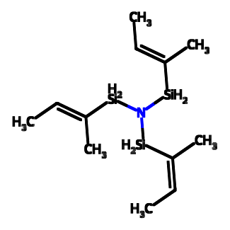 CC=C(C)[SiH2]N([SiH2]C(C)=CC)[SiH2]C(C)=CC